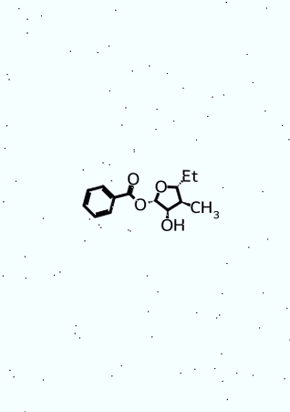 CC[C@H]1O[C@@H](OC(=O)c2ccccc2)[C@H](O)[C@@H]1C